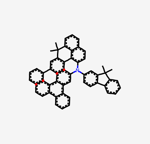 CC1(C)c2ccccc2-c2ccc(N(c3ccc4c5ccccc5c5ccccc5c4c3)c3ccc4cccc5c4c3-c3ccc(-c4ccccc4)cc3C5(C)C)cc21